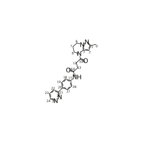 Cc1cc2n(n1)CCCN2C(=O)CCC(=O)Nc1ccc(-c2cccnn2)cc1